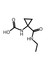 CCNC(=O)C1(NC(=O)O)CC1